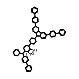 C1=CCC(C(C2C=CC(c3ccccc3)=CC2)C2CCC(C3CCC(C4C5C=CC(c6ccc(-c7ccccc7)cc6)=CC5C5CC(c6ccc(-c7ccccc7)cc6)CCC54)CC3)C3NSNC23)CC1